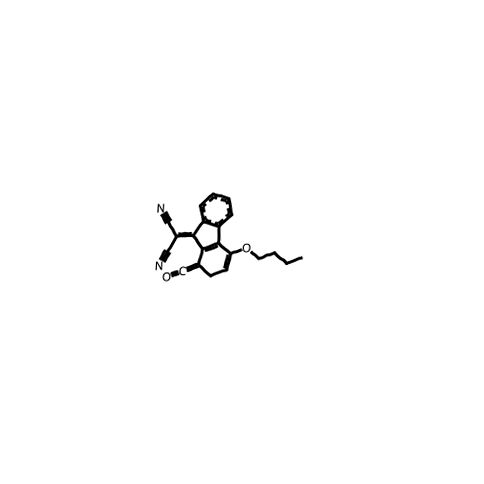 CCCCOC1=CCC(=C=O)C2=C1c1ccccc1C2=C(C#N)C#N